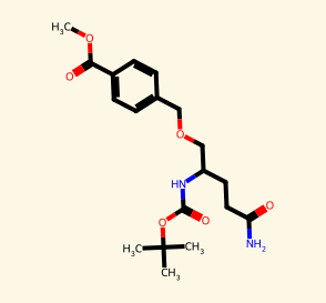 COC(=O)c1ccc(COCC(CCC(N)=O)NC(=O)OC(C)(C)C)cc1